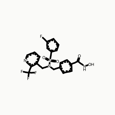 O=C(NO)c1ccc(CN(Cc2cccnc2C(F)(F)F)S(=O)(=O)c2cccc(F)c2)cc1